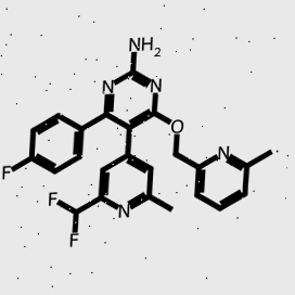 [CH2]c1cccc(COc2nc(N)nc(-c3ccc(F)cc3)c2-c2cc(C)nc(C(F)F)c2)n1